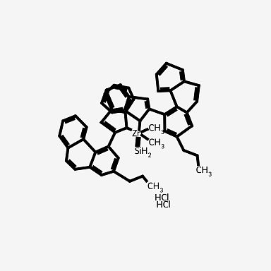 CCCc1cc(C2=Cc3ccccc3[CH]2[Zr]([CH3])([CH3])(=[SiH2])[CH]2C(c3cc(CCC)cc4ccc5ccccc5c34)=Cc3ccccc32)c2c(ccc3ccccc32)c1.Cl.Cl